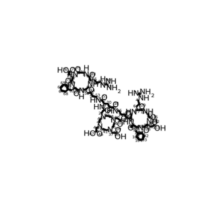 N=C(N)NCCC[C@@H]1NC(=O)[C@H](CCCCNC(=O)CCC(NC(=O)CN2CCN(CC(=O)O)CCN(CC(=O)O)CCN(CC(=O)O)CC2)C(=O)NCCCC[C@@H]2NC(=O)[C@@H](Cc3ccccc3)NC(=O)[C@H](CC(=O)O)NC(=O)CNC(=O)[C@H](CCCNC(=N)N)NC2=O)NC(=O)[C@@H](Cc2ccccc2)NC(=O)[C@H](CC(=O)O)NC(=O)CNC1=O